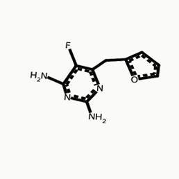 Nc1nc(N)c(F)c(Cc2ccco2)n1